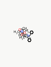 CC1(C)COC(C)(C)N1C(=O)OC(CN(Cc1ccccc1)Cc1ccccc1)[Si](C)(C)C